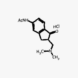 CC(=O)Nc1ccc2c(c1)CC(CN(C)C)C2=O.Cl